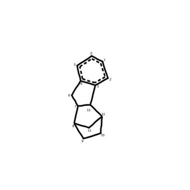 c1ccc2c(c1)CC1C3CCC(C3)C21